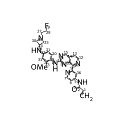 C=CC(=O)Nc1ccnc(-c2nccc3cnc(Nc4ccc(NC5CN(CCF)C5)cc4OC)nc23)c1